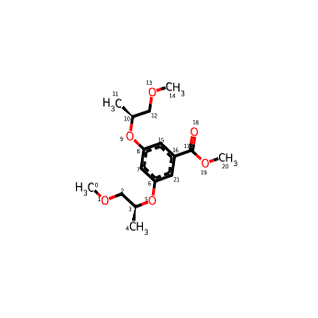 COC[C@H](C)Oc1cc(O[C@@H](C)COC)cc(C(=O)OC)c1